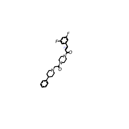 O=C(/C=C/c1cc(F)cc(F)c1)N1CCN(C(=O)CN2CCC(c3ccccc3)CC2)CC1